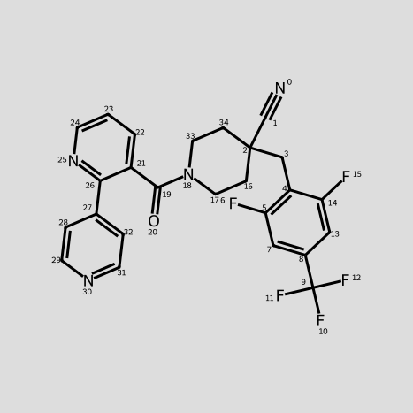 N#CC1(Cc2c(F)cc(C(F)(F)F)cc2F)CCN(C(=O)c2cccnc2-c2ccncc2)CC1